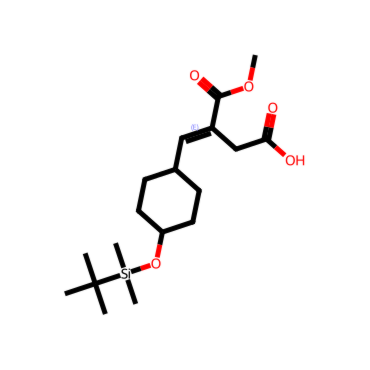 COC(=O)/C(=C/C1CCC(O[Si](C)(C)C(C)(C)C)CC1)CC(=O)O